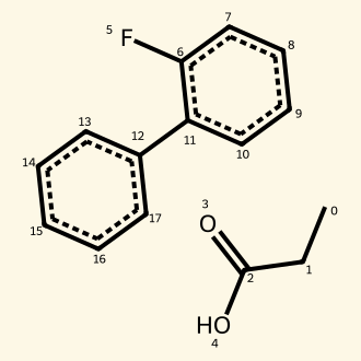 CCC(=O)O.Fc1ccccc1-c1ccccc1